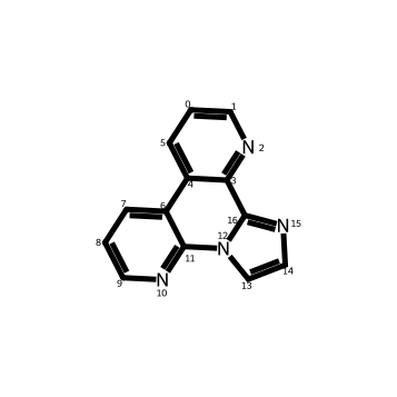 c1cnc2c(c1)c1cccnc1n1ccnc21